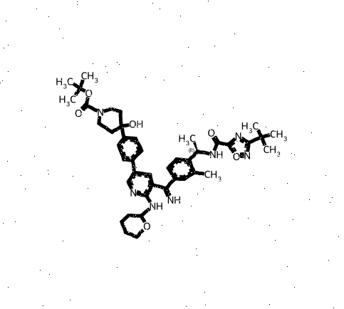 Cc1cc(C(=N)c2cc(-c3ccc(C4(O)CCN(C(=O)OC(C)(C)C)CC4)cc3)cnc2NC2CCCCO2)ccc1[C@@H](C)NC(=O)c1nc(C(C)(C)C)no1